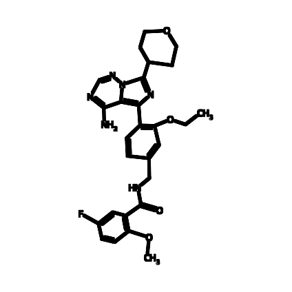 CCOc1cc(CNC(=O)c2cc(F)ccc2OC)ccc1-c1nc(C2CCOCC2)n2ncnc(N)c12